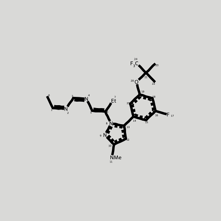 C\C=N/C=N\C=C(/CC)n1nc(NC)cc1-c1cc(F)cc(OC(C)(C)C(F)(F)F)c1